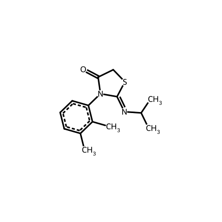 Cc1cccc(N2C(=O)CSC2=NC(C)C)c1C